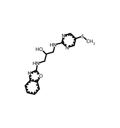 CSc1cnc(NCC(O)CNc2nc3ccccc3o2)nc1